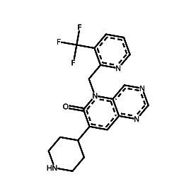 O=c1c(C2CCNCC2)cc2ncncc2n1Cc1ncccc1C(F)(F)F